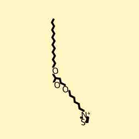 CCCCCCCCCCCCCCOCC1COC(COCCCCCCC[n+]2ccsc2)C1